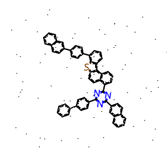 c1ccc(-c2ccc(-c3nc(-c4ccc5ccccc5c4)nc(-c4cccc5c4ccc4sc6c(-c7ccc(-c8ccc9ccccc9c8)cc7)cccc6c45)n3)cc2)cc1